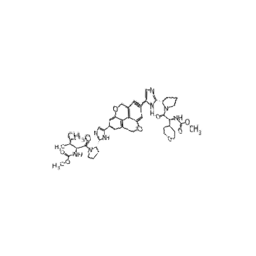 COC(=O)N[C@H](C(=O)N1CCC[C@H]1c1ncc(-c2cc3c4c(c2)OCc2cc(-c5cnc([C@@H]6CCCN6C(=O)[C@@H](NC(=O)OC)C6CCOCC6)[nH]5)cc(c2-4)OC3)[nH]1)C(C)C